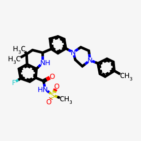 Cc1ccc(N2CCN(c3cccc(C4CC(C)(C)c5cc(F)cc(C(=O)NS(C)(=O)=O)c5N4)c3)CC2)cc1